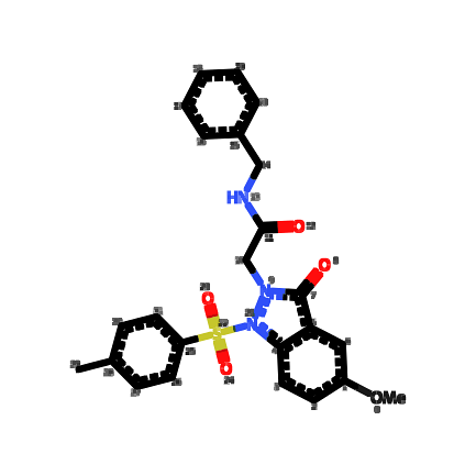 COc1ccc2c(c1)c(=O)n(CC(=O)NCc1ccccc1)n2S(=O)(=O)c1ccc(C)cc1